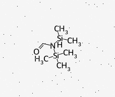 C[SiH](C)N(C=O)[Si](C)(C)C